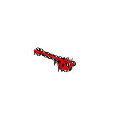 CC(=O)O[C@@H]1[C@H](C)C/C=C/O[C@@]2(C)OC3=C(C)C(O)=C4C(=O)C(=C5Oc6cc(OCC[N+](C)(C)Cc7ccc(NC(=O)[C@H](CCCNC(N)=O)NC(=O)[C@@H](NC(=O)CCOCCOCCOCCOCCOCCOCCOCCOCCNC(=O)CCN8C(=O)C9C%10C=C(C(C)C)C(C%10)C9C8=O)C(C)C)cc7)ccc6N=C5C4C3C2=O)NC(=O)/C(C)=C\C=C\[C@H](C)C[C@@H](C)C[C@H]1C